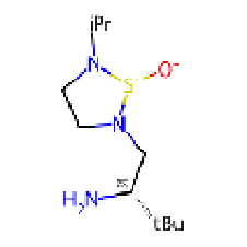 CC(C)N1CCN(C[C@@H](N)C(C)(C)C)[S+]1[O-]